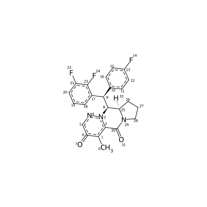 Cc1c2n(ncc1=O)[C@@H]([C@H](c1ccc(F)cc1)c1cccc(F)c1F)[C@H]1CCCN1C2=O